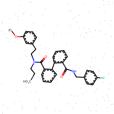 CCOc1cccc(CCN(CCC(=O)O)C(=O)c2ccccc2-c2ccccc2C(=O)NCc2ccc(F)cc2)c1